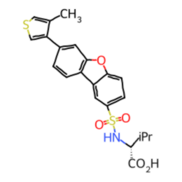 Cc1cscc1-c1ccc2c(c1)oc1ccc(S(=O)(=O)N[C@@H](C(=O)O)C(C)C)cc12